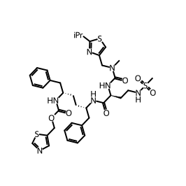 CC(C)c1nc(CN(C)C(=O)N[C@@H](CCNS(C)(=O)=O)C(=O)N[C@@H](CC[C@@H](Cc2ccccc2)NC(=O)OCc2cncs2)Cc2ccccc2)cs1